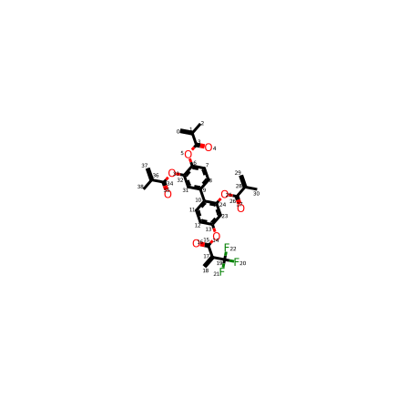 C=C(C)C(=O)Oc1ccc(-c2ccc(OC(=O)C(=C)C(F)(F)F)cc2OC(=O)C(=C)C)cc1OC(=O)C(=C)C